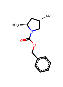 CC(=O)O[C@H]1C[C@H](C(=O)O)N(C(=O)OCc2ccccc2)C1